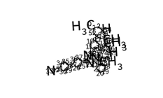 C[C@@H]1C[C@@H]2C[C@H](C)CC(c3ccc(-c4nc(-c5ccccc5)nc(-c5ccc(-c6ccc(C#N)cc6)cc5)n4)c(C45C[C@H](C)C[C@H](C[C@H](C)C4)C5)c3)(C1)C2